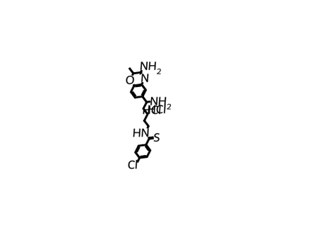 CC1Oc2ccc(C(N)CCCCNC(=S)c3ccc(Cl)cc3)cc2N=C1N.Cl.Cl